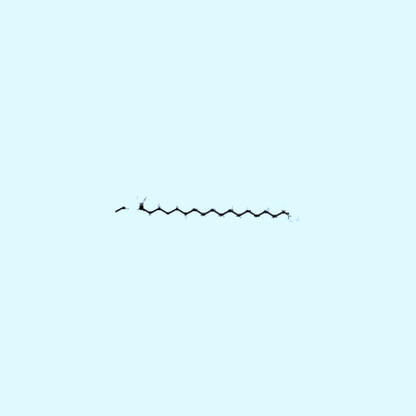 CCOC(=O)CCCCCCCCCCCCCCCCBr